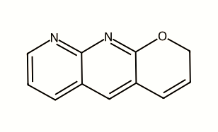 C1=Cc2cc3cccnc3nc2OC1